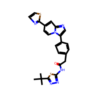 CC(C)(C)c1nnc(NC(=O)Cc2ccc(-c3cnc4cc(-c5nccs5)ccn34)cc2)s1